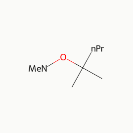 [CH2]NOC(C)(C)CCC